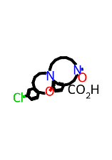 CN1CCCCCCCN2CCCCc3cc(Cl)ccc3COc3ccc(cc32)[C@H](C(=O)O)CC1=O